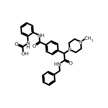 CN1CCN(C(C(=O)NCc2ccccc2)c2ccc(C(=O)Nc3ccccc3NC(=O)O)cc2)CC1